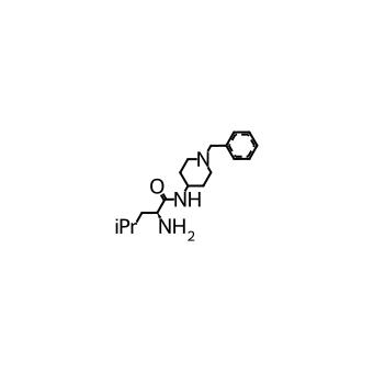 CC(C)C[C@H](N)C(=O)NC1CCN(Cc2ccccc2)CC1